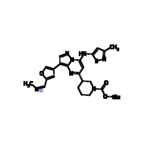 C/N=C\c1cc(-c2cnn3c(Nc4cc(C)ns4)cc(C4CCCN(C(=O)OC(C)(C)C)C4)nc23)co1